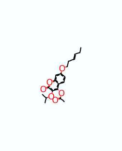 CC/C=C/CCOc1ccc2c(OC(C)=O)c(OC(C)C)c(=O)oc2c1